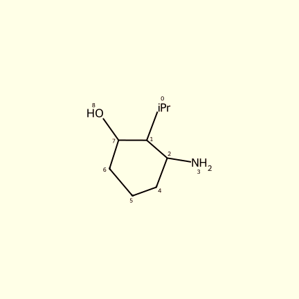 CC(C)C1C(N)CCCC1O